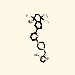 CC1(C)CCC(C)(C)c2cc(-c3cccc(N4CCN(C[C@H]5NCC[C@@H]5O)CC4)n3)ccc21